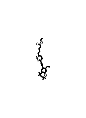 CCOC(=O)CCCCc1ccc(C#Cc2cc3c(cc2CC)OC(C)(C)CC3(C)C)nn1